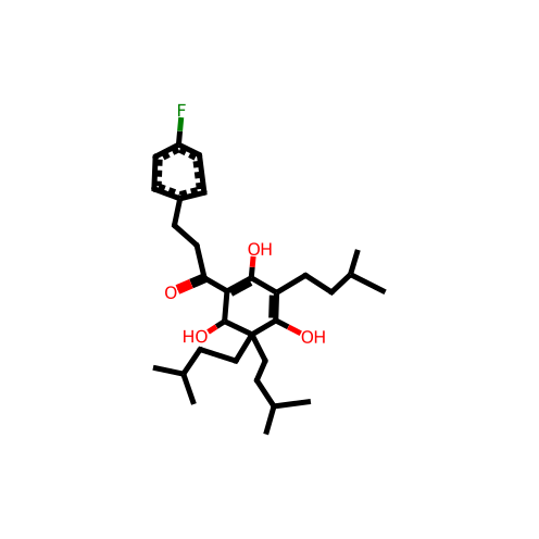 CC(C)CCC1=C(O)C(CCC(C)C)(CCC(C)C)C(O)C(C(=O)CCc2ccc(F)cc2)=C1O